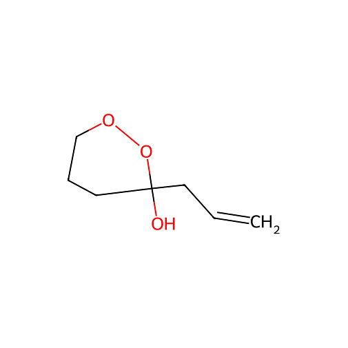 C=CCC1(O)CCCOO1